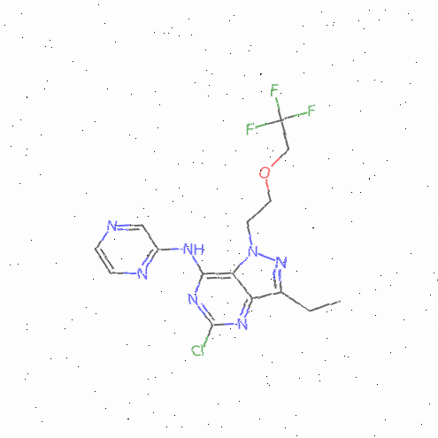 CCc1nn(CCOCC(F)(F)F)c2c(Nc3cnccn3)nc(Cl)nc12